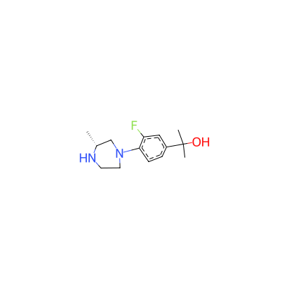 C[C@@H]1CN(c2ccc(C(C)(C)O)cc2F)CCN1